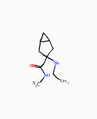 CCNC1(C(=O)NC)CC2CC2C1